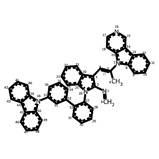 C=Nc1c(/C=C(\C)n2c3ccccc3c3cnccc32)c2ccccc2n1-c1ccccc1-c1cccc(-n2c3ccccc3c3ccccc32)c1